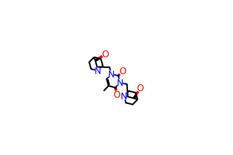 Cc1cn(CC2C(=O)C3CCN2CC3)c(=O)n(CC2C(=O)C3CCN2CC3)c1=O